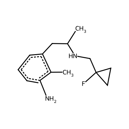 Cc1c(N)cccc1CC(C)NCC1(F)CC1